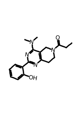 CCC(=O)N1CCc2nc(-c3ccccc3O)nc(N(C)C)c2C1